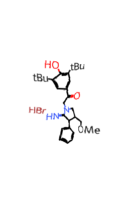 Br.COCC1CN(CC(=O)c2cc(C(C)(C)C)c(O)c(C(C)(C)C)c2)C(=N)C1c1ccccc1